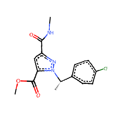 CNC(=O)c1cc(C(=O)OC)n([C@@H](C)c2ccc(Cl)cc2)n1